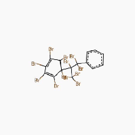 BrC1=C(Br)C(Br)C(Br)(C(Br)(C(Br)(Br)Br)C(Br)(Br)c2ccccc2)C(Br)=C1Br